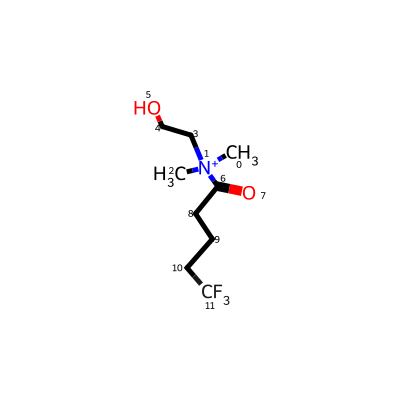 C[N+](C)(CCO)C(=O)CCCC(F)(F)F